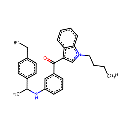 CC(C)Cc1ccc(C(C#N)Nc2cccc(C(=O)c3cn(CCCC(=O)O)c4ccccc34)c2)cc1